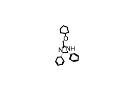 C1=CCC([C@@H]2N=C(COC3CCCCC3)N[C@@H]2c2ccccc2)C=C1